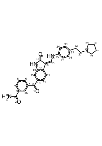 NC(=O)c1cccc(C(=O)c2ccc3c(c2)NC(=O)C3=CNc2ccc(CCN3CCCC3)cc2)c1